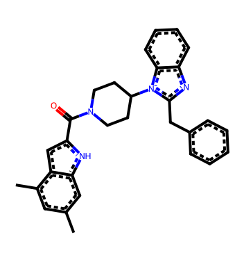 Cc1cc(C)c2cc(C(=O)N3CCC(n4c(Cc5ccccc5)nc5ccccc54)CC3)[nH]c2c1